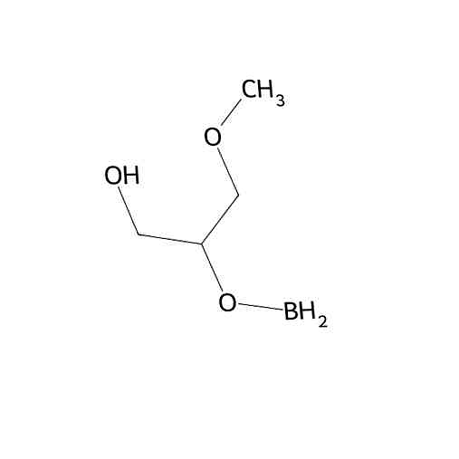 BOC(CO)COC